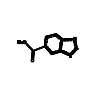 COC(=O)c1ccc2n[c]sc2c1